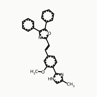 COc1cc(C=Cc2nc(-c3ccccc3)c(-c3ccccc3)o2)ccc1-c1nc(C)c[nH]1